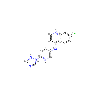 Clc1ccc2c(Nc3ccc(-n4cncn4)nc3)ccnc2c1